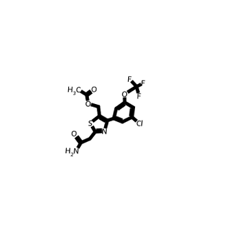 CC(=O)OCc1sc(CC(N)=O)nc1-c1cc(Cl)cc(OC(F)(F)F)c1